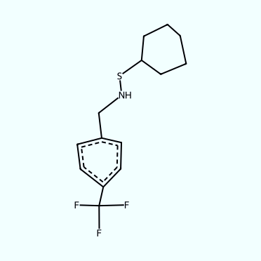 FC(F)(F)c1ccc(CNSC2CCCCC2)cc1